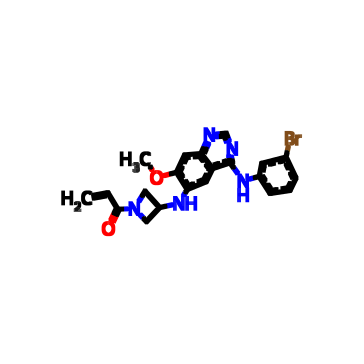 C=CC(=O)N1CC(Nc2cc3c(Nc4cccc(Br)c4)ncnc3cc2OC)C1